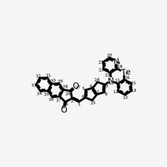 O=C1C(=CC2=CC3=C(C=C(N4c5ccccc5[Te]c5ncccc54)C3)C2)C(=O)c2cc3ccccc3cc21